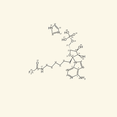 Nc1ncnc2c1ncn2[C@]1(CCCCCCNC(=O)C(F)(F)F)O[C@H](COP(=O)(O)O)[C@@H](O)[C@H]1O.c1c[nH]cn1